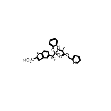 C[C@H](NP(=O)(Oc1ccccc1)[C@@H](F)c1ccc2sc(C(=O)O)cc2c1)C(=O)OCc1ccccn1